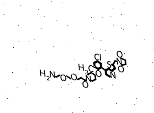 Cc1cc(Cl)cc(-c2ccnc3cc(CN4C(=O)CCC4=O)sc23)c1OC1CCN(C(=O)CCOCCOCCN)CC1